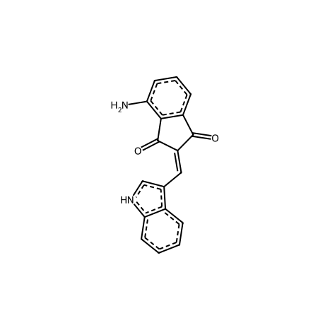 Nc1cccc2c1C(=O)C(=Cc1c[nH]c3ccccc13)C2=O